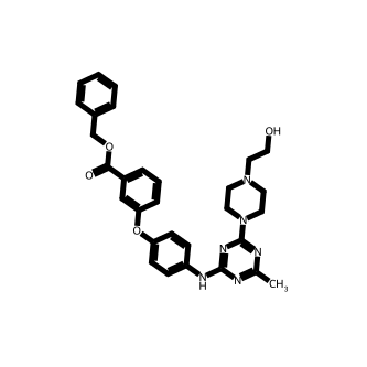 Cc1nc(Nc2ccc(Oc3cccc(C(=O)OCc4ccccc4)c3)cc2)nc(N2CCN(CCO)CC2)n1